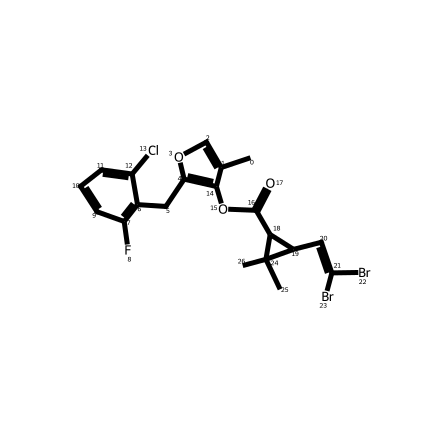 Cc1coc(Cc2c(F)cccc2Cl)c1OC(=O)C1C(C=C(Br)Br)C1(C)C